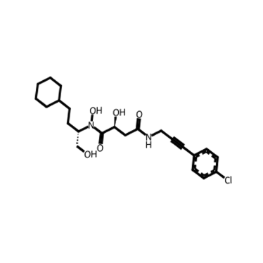 O=C(C[C@H](O)C(=O)N(O)[C@H](CO)CCC1CCCCC1)NCC#Cc1ccc(Cl)cc1